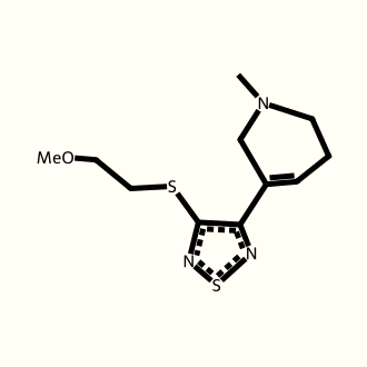 COCCSc1nsnc1C1=CCCN(C)C1